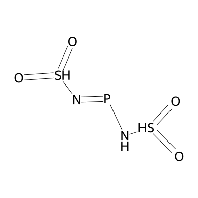 O=[SH](=O)N=PN[SH](=O)=O